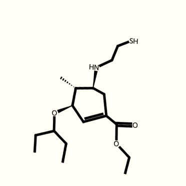 CCOC(=O)C1=C[C@@H](OC(CC)CC)[C@H](C)[C@@H](NCCS)C1